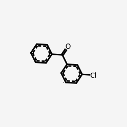 O=C(c1ccccc1)c1c[c]cc(Cl)c1